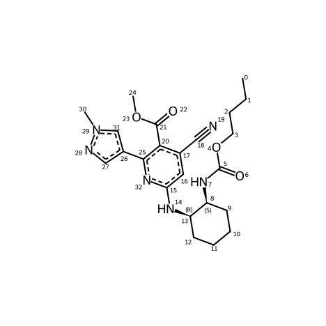 CCCCOC(=O)N[C@H]1CCCC[C@H]1Nc1cc(C#N)c(C(=O)OC)c(-c2cnn(C)c2)n1